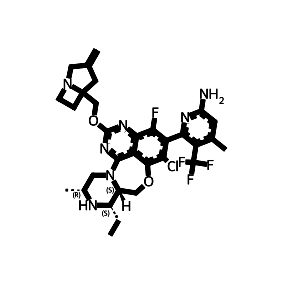 C=C1CN2CCC2(COc2nc3c4c(c(Cl)c(-c5nc(N)cc(C)c5C(F)(F)F)c(F)c4n2)OC[C@@H]2[C@H](CC)N[C@H](C)CN32)C1